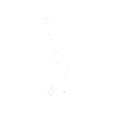 CC(C)(COP(=O)(O)OP(=O)(O)OCC1OC(C)(n2cnc3c(N)ncnc32)C(O)C1OP(=O)(O)O)C(O)C(=O)NCCC(=O)NCCSC(=O)CC(=O)CSCc1ccccc1